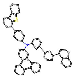 c1cc(-c2cccc(N(c3ccc(-c4cccc5c4sc4ccccc45)cc3)c3ccc4c5ccccc5c5ccccc5c4c3)c2)cc(-c2cccc3ccccc23)c1